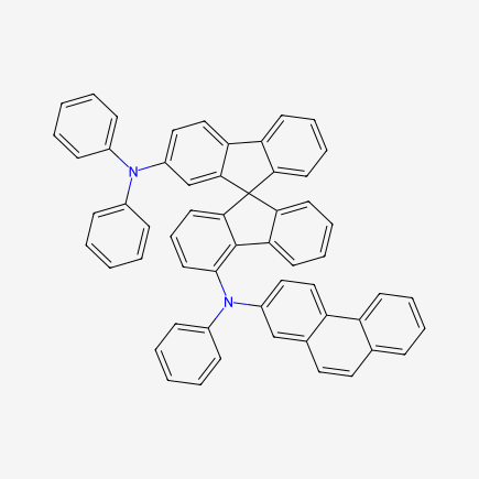 c1ccc(N(c2ccccc2)c2ccc3c(c2)C2(c4ccccc4-3)c3ccccc3-c3c(N(c4ccccc4)c4ccc5c(ccc6ccccc65)c4)cccc32)cc1